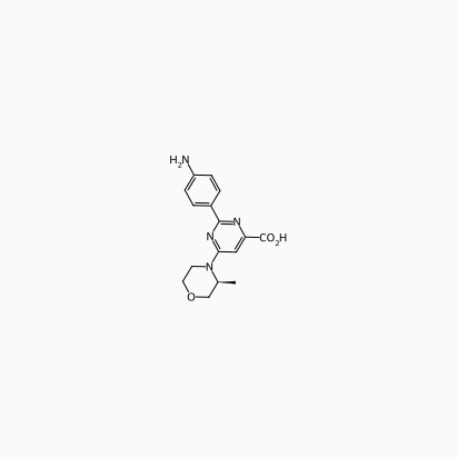 C[C@H]1COCCN1c1cc(C(=O)O)nc(-c2ccc(N)cc2)n1